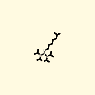 CC(C)CCCCCOP(N(C(C)C)C(C)C)N(C(C)C)C(C)C